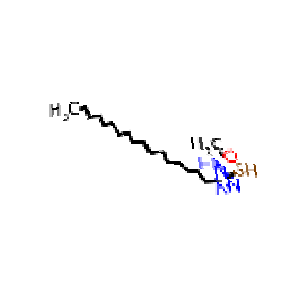 CCCCCCCCCCCCCCCCCc1nnc(S)n1NC(C)=O